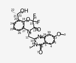 COc1ccc2c(=O)n(C)c(CN3C(=O)C(F)(F)Oc4c([C@H](C)O)cccc43)nc2c1